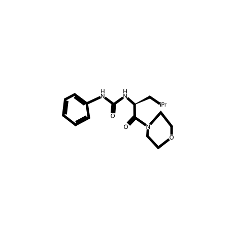 CC(C)C[C@H](NC(=O)Nc1ccccc1)C(=O)N1CCOCC1